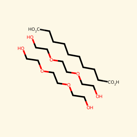 O=C(O)CCCCCCCCC(=O)O.OCCOCCOCCO.OCCOCCOCCO